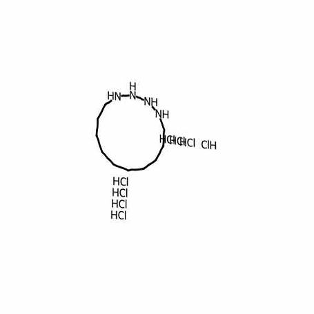 C1CCCCCNNNNCCCC1.Cl.Cl.Cl.Cl.Cl.Cl.Cl.Cl